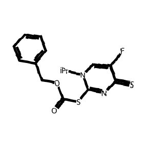 CC(C)n1cc(F)c(=S)nc1SC(=O)OCc1ccccc1